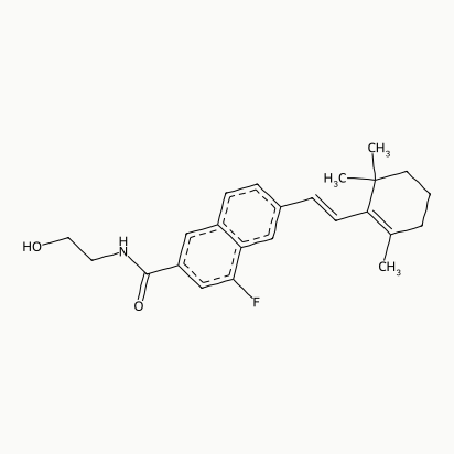 CC1=C(C=Cc2ccc3cc(C(=O)NCCO)cc(F)c3c2)C(C)(C)CCC1